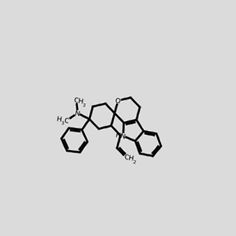 C=CCC1CC(c2ccccc2)(N(C)C)CCC12OCCc1c2[nH]c2ccccc12